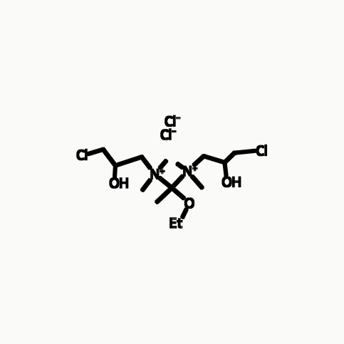 CCOC(C)([N+](C)(C)CC(O)CCl)[N+](C)(C)CC(O)CCl.[Cl-].[Cl-]